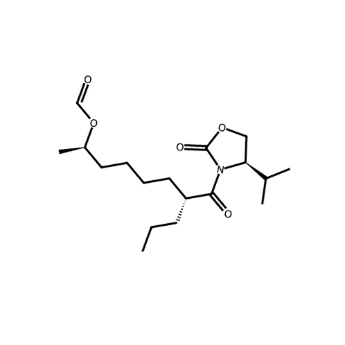 CCC[C@H](CCCC[C@@H](C)OC=O)C(=O)N1C(=O)OC[C@H]1C(C)C